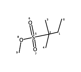 CCC(C)(C)S(=O)(=O)OC